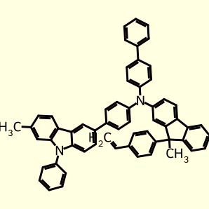 C=Cc1ccc(C2(C)c3ccccc3-c3ccc(N(c4ccc(-c5ccccc5)cc4)c4ccc(-c5ccc6c(c5)c5ccc(C)cc5n6-c5ccccc5)cc4)cc32)cc1